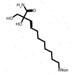 CCCCCCCCCCCCCCCC/C=C/C(O)(CO)C(N)=O